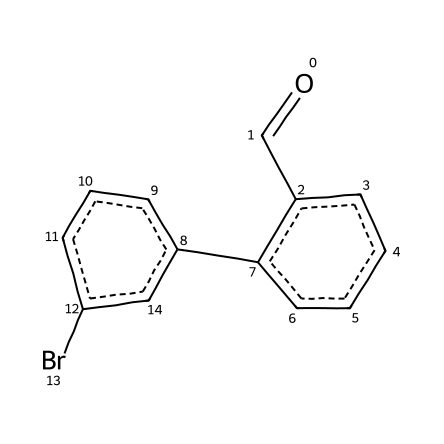 O=Cc1ccccc1-c1cccc(Br)c1